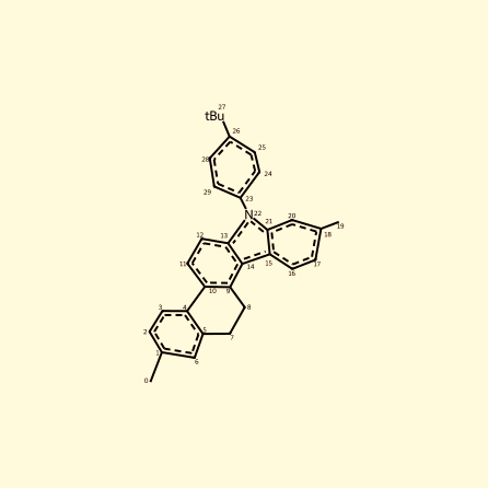 Cc1ccc2c(c1)CCc1c-2ccc2c1c1ccc(C)cc1n2-c1ccc(C(C)(C)C)cc1